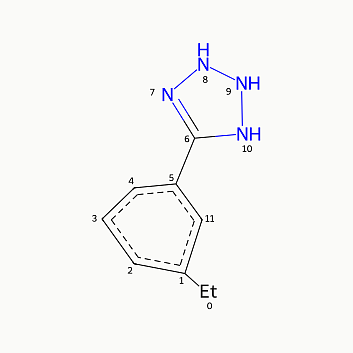 CCc1cccc(C2=NNNN2)c1